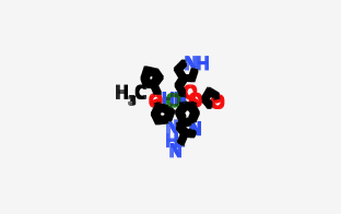 Cc1ccccc1COc1ccc(Nc2c(C#N)cnc3cc(OC4CCOC4)c(NC(=O)C=C4CCNCC4)cc23)cc1Cl